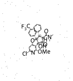 COc1nc(Cl)cc2c1[C@]1(O)[C@H](O)[C@H](C(=O)N(C)C)[C@@H](c3ccccc3)[C@]1(c1ccc(C(F)(F)F)cc1)O2